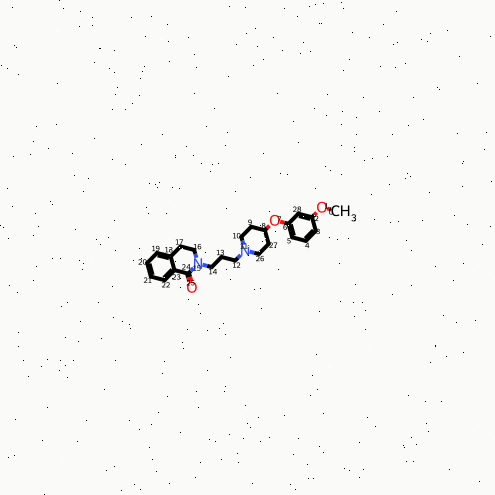 COc1cccc(OC2CCN(CCCN3CCc4ccccc4C3=O)CC2)c1